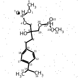 CO[PH](=O)OCC(O)(CCc1ccc(C(C)C)cc1)CO[PH](=O)OC